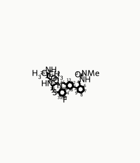 CNC(=O)NCc1ccccc1-c1ccc(CN2C(=O)[C@H](NC(=O)CC(C)(C)N)CSc3cc(F)ccc32)cc1